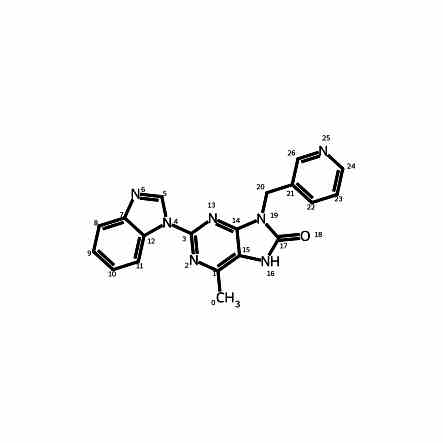 Cc1nc(-n2cnc3ccccc32)nc2c1[nH]c(=O)n2Cc1cccnc1